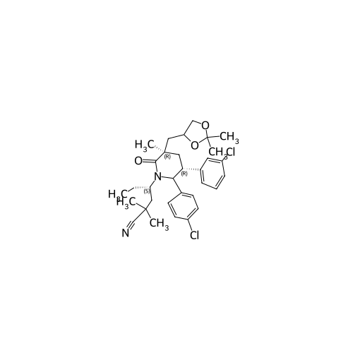 CC[C@@H](CC(C)(C)C#N)N1C(=O)[C@@](C)(CC2COC(C)(C)O2)C[C@H](c2cccc(Cl)c2)C1c1ccc(Cl)cc1